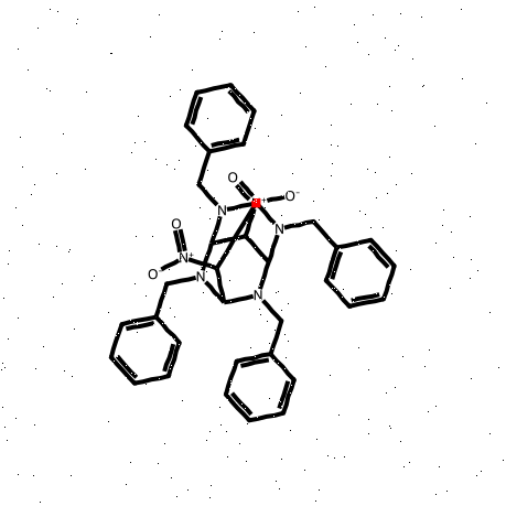 O=[N+]([O-])C1C2N(Cc3ccccc3)C3C([N+](=O)[O-])C(N2Cc2ccccc2)N(Cc2ccccc2)C1N3Cc1ccccc1